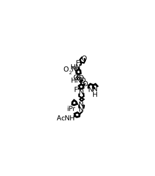 CC(=O)Nc1ccc(CN2CCN(C3CC4(CCN(c5cc(Oc6cnc7[nH]ccc7c6)c(C(=O)NS(=O)(=O)c6ccc(NCC7(F)CCOCC7)c([N+](=O)[O-])c6)cc5F)CC4)C3)[C@H](c3ccccc3C(C)C)C2)cc1